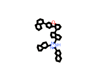 c1ccc2cc(C3=NC(c4ccc5ccccc5c4)NC(c4cccc5c(-c6cccc7oc8cc(-c9cccc%10ccccc9%10)ccc8c67)cccc45)=N3)ccc2c1